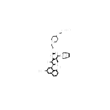 CCc1cccc2cc(O)cc(-c3ncc4c(N5CC6CCC(C5)N6)nc(OCCN5CCC(O[CH]C=O)CC5)nc4c3F)c12